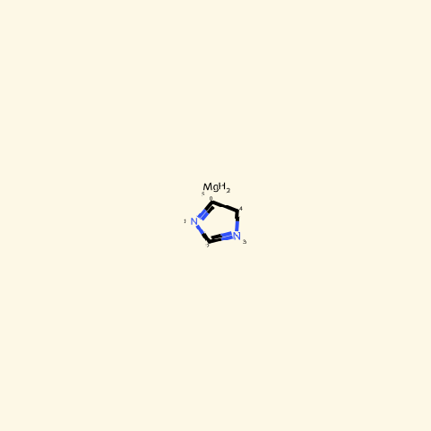 C1=NC=NC1.[MgH2]